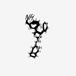 NCc1cccc(-c2cnc(NCC3Cc4ccccc4CN3)nc2-c2ccncc2)c1